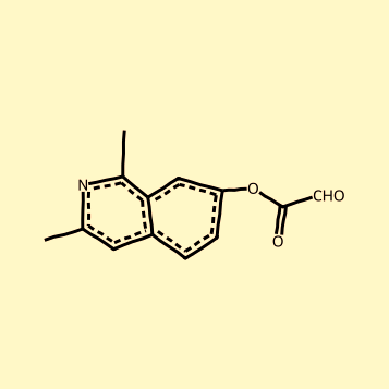 Cc1cc2ccc(OC(=O)C=O)cc2c(C)n1